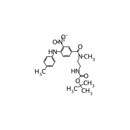 Cc1ccc(Nc2ccc(C(=O)N(C)CCNC(=O)OC(C)(C)C)cc2[N+](=O)[O-])cc1